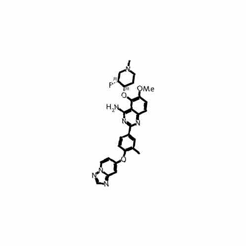 COc1ccc2nc(-c3ccc(Oc4ccn5ncnc5c4)c(C)c3)nc(N)c2c1O[C@H]1CCN(C)C[C@H]1F